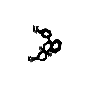 CN1CC[C@H]2c3ccccc3C(c3cccc(C(F)(F)F)c3)O[C@H]2C1